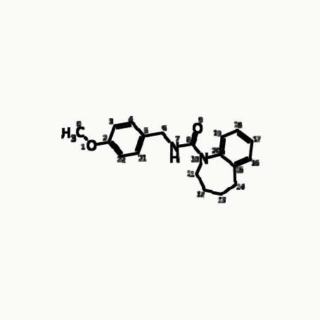 COc1ccc(CNC(=O)N2CCCCc3ccccc32)cc1